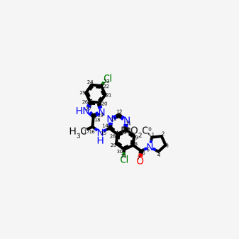 CCOC(=O)[C@@H]1CCCN1C(=O)c1cc2ncnc(NC(C)c3nc4cc(Cl)ccc4[nH]3)c2cc1Cl